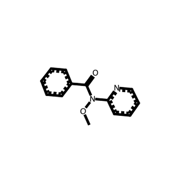 CON(C(=O)c1ccccc1)c1ccccn1